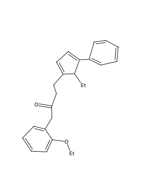 CCOc1ccccc1CC(=O)CCC1=CC=C(c2ccccc2)C1CC